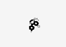 CN1CCN=C(c2ccc(I)cc2)c2cc(Cl)ccc21